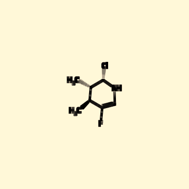 C[C@@H]1[C@H](Cl)NC=C(F)[C@H]1C